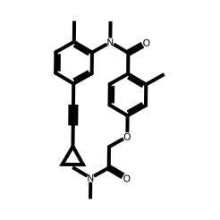 Cc1cc(OCC(=O)N(C)C)ccc1C(=O)N(C)c1cc(C#CC2CC2)ccc1C